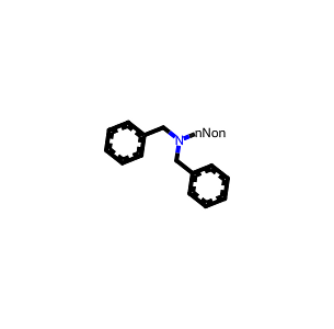 CCCCCCCCCN(Cc1ccccc1)Cc1ccccc1